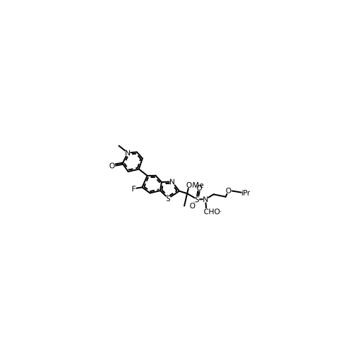 COC(C)(c1nc2cc(-c3ccn(C)c(=O)c3)c(F)cc2s1)S(=O)(=O)N([C]=O)CCOC(C)C